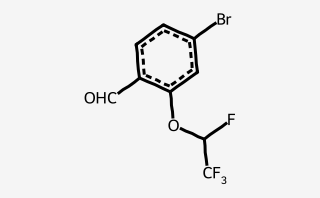 O=Cc1ccc(Br)cc1OC(F)C(F)(F)F